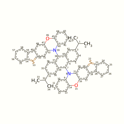 CC(C)c1ccc2c(N3c4ccccc4Oc4cc5c(cc43)sc3ccccc35)c3cc(C(C)C)ccc3c(N3c4ccccc4Oc4cc5c(cc43)sc3ccccc35)c2c1